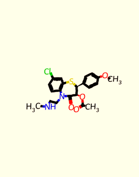 CNCCN1C(=O)[C@H](OC(C)=O)[C@H](c2ccc(OC)cc2)Sc2cc(Cl)ccc21